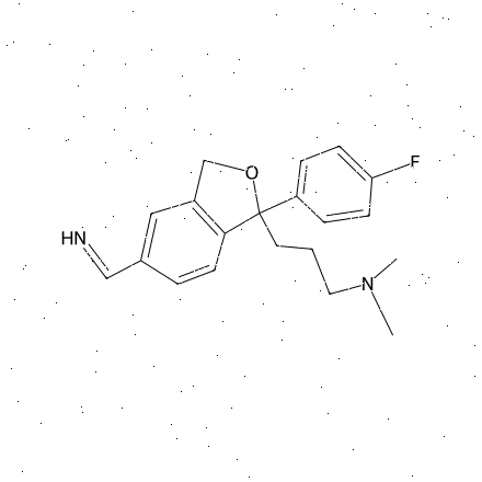 CN(C)CCCC1(c2ccc(F)cc2)OCc2cc(C=N)ccc21